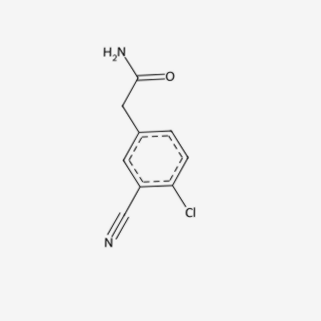 N#Cc1cc(CC(N)=O)ccc1Cl